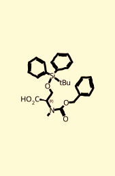 CN(C(=O)OCc1ccccc1)[C@H](CO[Si](c1ccccc1)(c1ccccc1)C(C)(C)C)C(=O)O